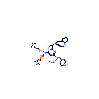 C[Si](C)(C)CCOCN(COCC[Si](C)(C)C)c1cc(N(CC2CCNCC2)C(=O)O)nc2c(-c3cnc4ccc(F)cc4c3)cnn12